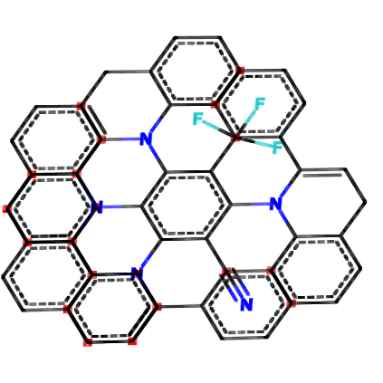 N#Cc1c(N2C(c3ccccc3)=CCc3ccccc32)c(N2C(c3ccccc3)=CCc3ccccc32)c(N2C(c3ccccc3)=CCc3ccccc32)c(C(F)(F)F)c1N1C(c2ccccc2)=CCc2ccccc21